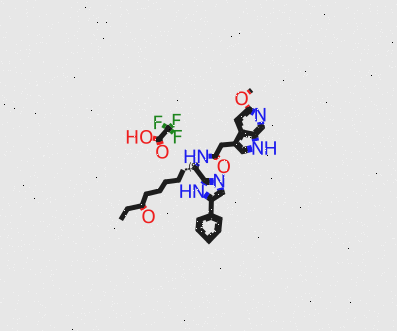 CCC(=O)CCCCC[C@H](NC(=O)Cc1c[nH]c2cnc(OC)cc12)c1ncc(-c2ccccc2)[nH]1.O=C(O)C(F)(F)F